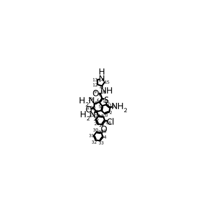 Nc1ccc2c3c(c(C(=O)NC4CCNC4)sc13)C(N)C(=O)C2(N)c1ccc(Oc2ccccc2)c(Cl)c1